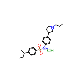 CCCN1CCC(c2ccc(NS(=O)(=O)c3ccc(C(C)CC)cc3)cc2)C1.Cl